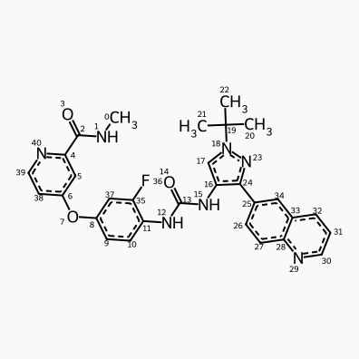 CNC(=O)c1cc(Oc2ccc(NC(=O)Nc3cn(C(C)(C)C)nc3-c3ccc4ncccc4c3)c(F)c2)ccn1